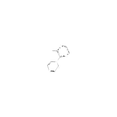 C[C@@H]1C=NC=CN1c1nccnc1Cl